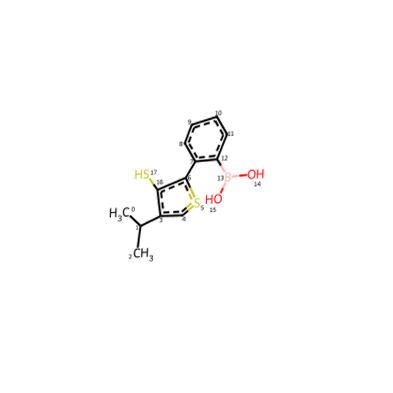 CC(C)c1csc(-c2ccccc2B(O)O)c1S